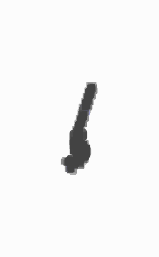 C/C=C(\CC[C@@H](C)[C@H]1CC[C@H]2[C@@H]3CC=C4C[C@@H](OC(=O)CCCCCCC/C=C/CCCCCCCC)CC[C@]4(C)[C@H]3CC[C@]12C)C(C)C